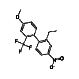 CCc1cc([N+](=O)[O-])ccc1-c1ccc(OC)cc1C(F)(F)F